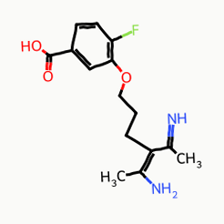 CC(=N)/C(CCCOc1cc(C(=O)O)ccc1F)=C(/C)N